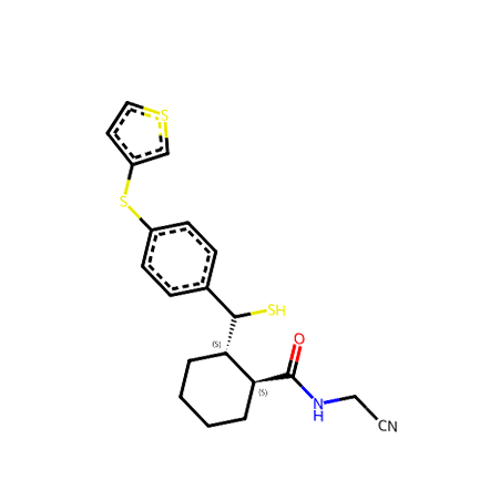 N#CCNC(=O)[C@H]1CCCC[C@@H]1C(S)c1ccc(Sc2ccsc2)cc1